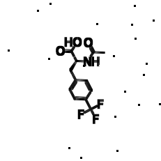 CC(=O)N[C@@H](Cc1ccc(C(F)(F)F)cc1)C(=O)O